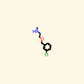 CNCCOCc1cccc(Cl)c1